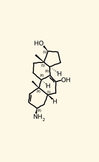 C[C@]12C=C[C@H](N)C[C@H]1CC(O)=C1[C@@H]2CC[C@]2(C)[C@@H](O)CC[C@@H]12